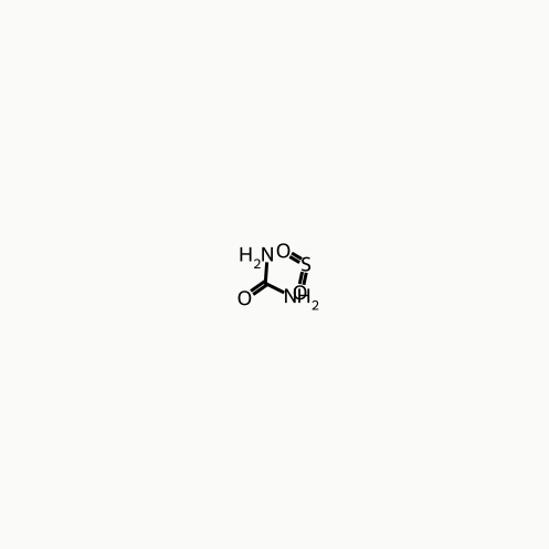 NC(N)=O.O=S=O